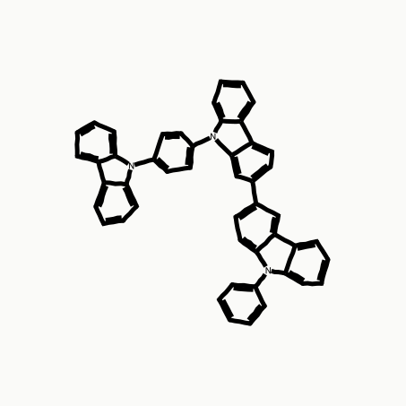 c1ccc(-n2c3ccccc3c3cc(-c4ccc5c6ccccc6n(-c6ccc(-n7c8ccccc8c8ccccc87)cc6)c5c4)ccc32)cc1